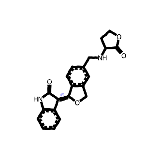 O=C1Nc2ccccc2/C1=C1\OCc2cc(CNC3CCOC3=O)ccc21